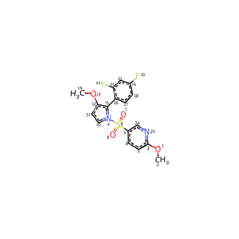 COc1ccc(S(=O)(=O)n2ccc(OC)c2-c2ccc(F)cc2F)cn1